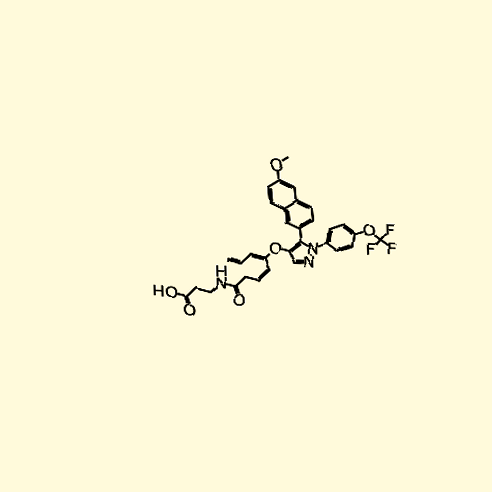 C=C/C=C(\C=C/CC(=O)NCCC(=O)O)Oc1cnn(-c2ccc(OC(F)(F)F)cc2)c1-c1ccc2cc(OC)ccc2c1